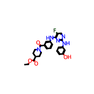 CCOC(=O)C1CCN(C(=O)c2cccc(Nc3nc(Nc4cccc(O)c4)ncc3F)c2)CC1